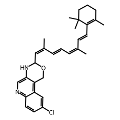 CC(C=CC1=C(C)CCCC1(C)C)=CC=CC(C)=CC1Nc2cnc3ccc(Cl)cc3c2CO1